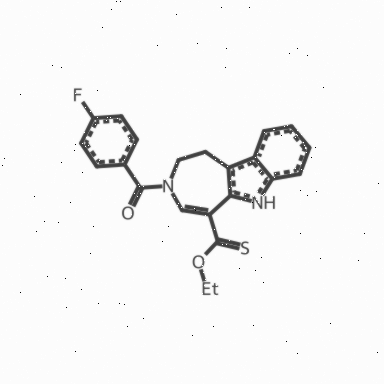 CCOC(=S)C1=CN(C(=O)c2ccc(F)cc2)CCc2c1[nH]c1ccccc21